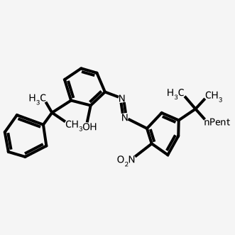 CCCCCC(C)(C)c1ccc([N+](=O)[O-])c(N=Nc2cccc(C(C)(C)c3ccccc3)c2O)c1